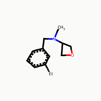 CCc1cccc(CN(C)C2COC2)c1